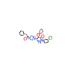 O=C(Cc1ccccc1)N1CCN(c2cnn(-c3cccc(Cl)c3)c(=O)c2OC2CCCC2)CC1